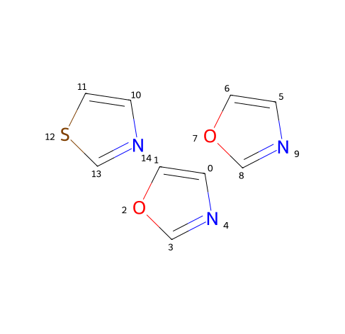 c1cocn1.c1cocn1.c1cscn1